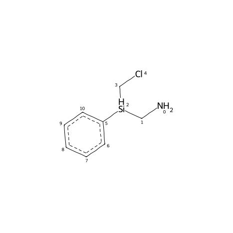 NC[SiH](CCl)c1ccccc1